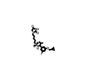 CC(C)C(NS(=O)(=O)CCCCCN1CC(=O)NC1=O)c1cc(F)cc(OCC2CC2)c1